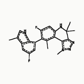 Cc1c(-c2cc(F)cc3c(C)c[nH]c23)c(F)cc2c1-c1c(nnn1C)C(C)(C)N2